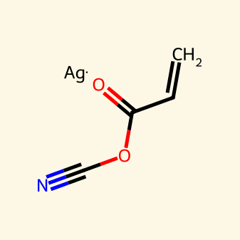 C=CC(=O)OC#N.[Ag]